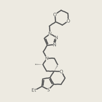 CCc1cc2c(s1)CCO[C@@]21CCN(Cc2cn(CC3COCCO3)nn2)[C@@H](C)C1